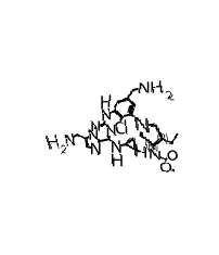 CC[C@@H]1CN(c2cc(CN)cc(Nc3nc(NC4CC4)c4ncc(CN)n4n3)c2Cl)C[C@@H]1NC(=O)OC